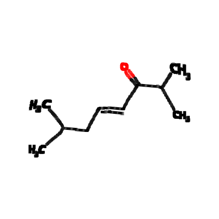 CC(C)C/C=C/C(=O)C(C)C